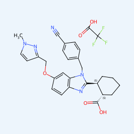 Cn1ccc(COc2ccc3nc([C@H]4CCCC[C@@H]4C(=O)O)n(Cc4ccc(C#N)cc4)c3c2)n1.O=C(O)C(F)(F)F